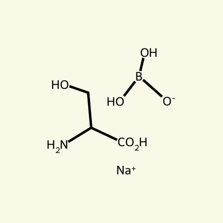 NC(CO)C(=O)O.[Na+].[O-]B(O)O